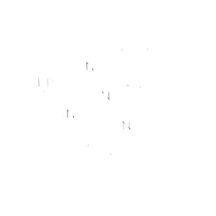 Bc1nc2cccnc2n2c1nc1ccccc12